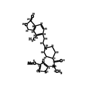 COc1nsc(N(C)C(=O)C2CCN(CCc3ccc4c(c3C)COC4=O)CC2)n1